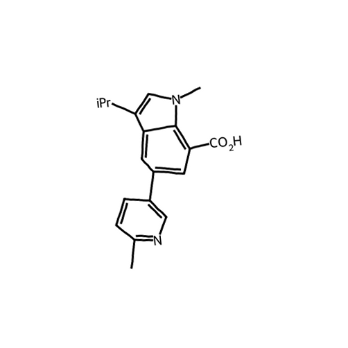 Cc1ccc(-c2cc(C(=O)O)c3c(c2)c(C(C)C)cn3C)cn1